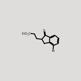 CCOC(=O)CCC1Cc2c(Br)cccc2C1=O